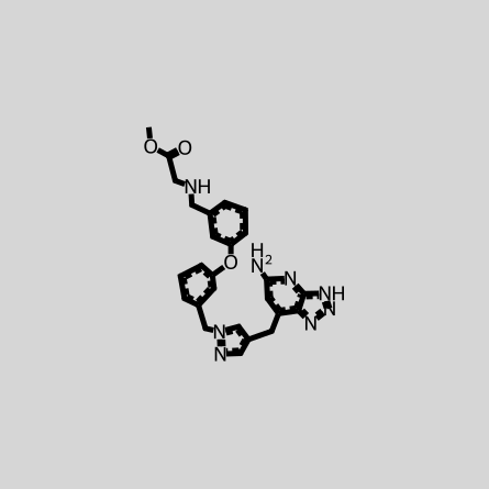 COC(=O)CNCc1cccc(Oc2cccc(Cn3cc(Cc4cc(N)nc5[nH]nnc45)cn3)c2)c1